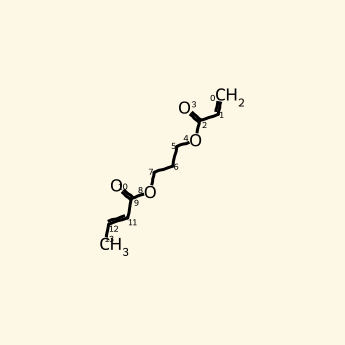 C=CC(=O)OCCCOC(=O)C=CC